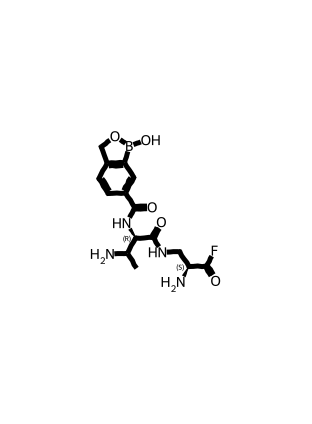 CC(N)[C@@H](NC(=O)c1ccc2c(c1)B(O)OC2)C(=O)NC[C@H](N)C(=O)F